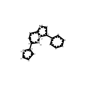 c1ccc(-c2cnc3ccc(-c4cccs4)nn23)cc1